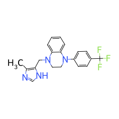 Cc1nc[nH]c1CN1CCN(c2ccc(C(F)(F)F)cc2)c2ccccc21